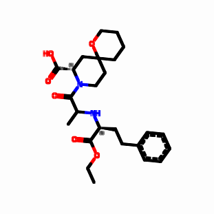 CCOC(=O)[C@H](CCc1ccccc1)NC(C)C(=O)N1CCC2(CCCCO2)C[C@H]1C(=O)O